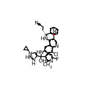 Cc1nc(F)ccc1C(O)(Nc1cc(Cl)c2ncc(C#N)c(N[C@H](CCC#N)c3ccccc3)c2c1)C1=CN(C2CC2)NN1